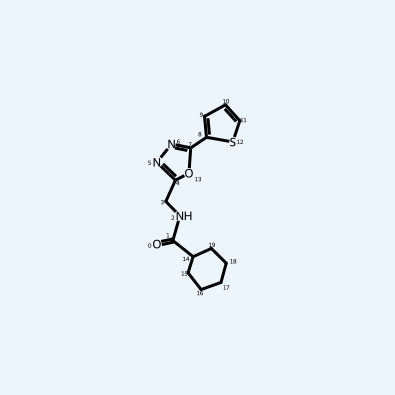 O=C(NCc1nnc(-c2cccs2)o1)C1CCCCC1